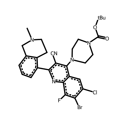 CN1CCc2c(cccc2-c2nc3c(F)c(Br)c(Cl)cc3c(N3CCN(C(=O)OC(C)(C)C)CC3)c2C#N)C1